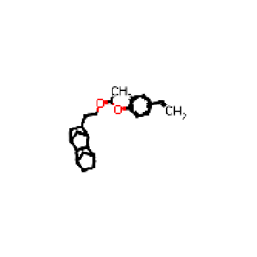 C=Cc1ccc(OC(C)OCCC2CC3CC2C2C4CCC(C4)C32)cc1